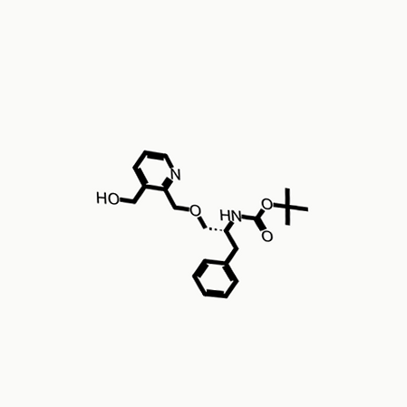 CC(C)(C)OC(=O)N[C@@H](COCc1ncccc1CO)Cc1ccccc1